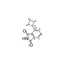 O=C1NC(=O)c2c1cccc2C1CCC1